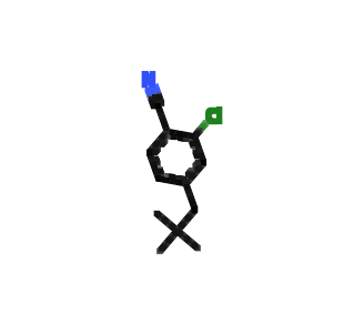 CC(C)(C)Cc1ccc(C#N)c(Cl)c1